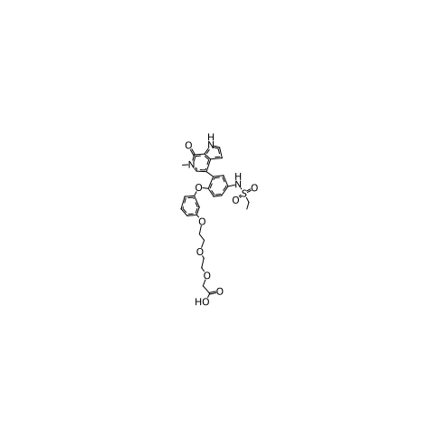 CCS(=O)(=O)Nc1ccc(Oc2cccc(OCCOCCOCC(=O)O)c2)c(-c2cn(C)c(=O)c3[nH]ccc23)c1